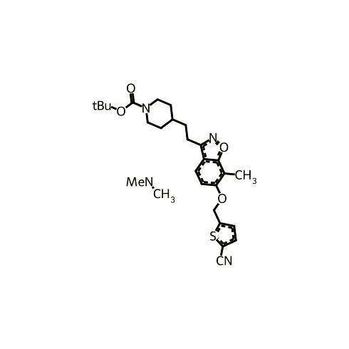 CNC.Cc1c(OCc2ccc(C#N)s2)ccc2c(CCC3CCN(C(=O)OC(C)(C)C)CC3)noc12